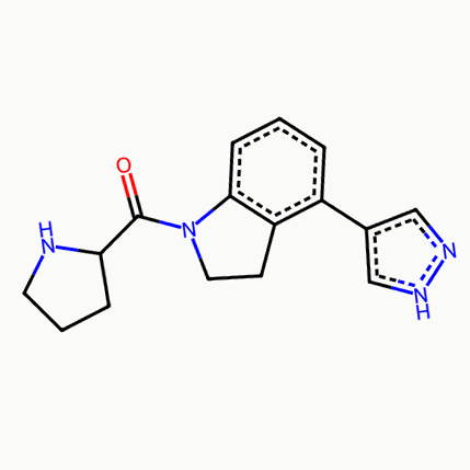 O=C(C1CCCN1)N1CCc2c(-c3cn[nH]c3)cccc21